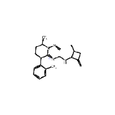 C=NN1/C(=N\CNC2C(=C)CC2C)C(c2ccccc2C(F)(F)F)CCC1C(F)(F)F